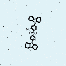 N#Cc1cc(-n2c3ccccc3c3ccccc32)ccc1S(=O)(=O)c1ccc(-n2c3ccccc3c3ccccc32)nc1